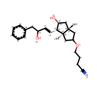 N#CCCCOC1C[C@H]2C[C@H](O)[C@@H](C=CC(O)Cc3ccccc3)[C@@H]2C1